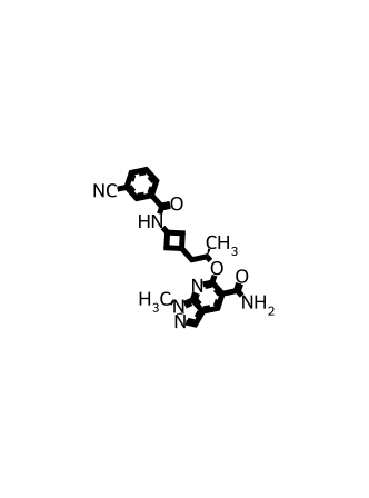 C[C@@H](CC1CC(NC(=O)c2cccc(C#N)c2)C1)Oc1nc2c(cnn2C)cc1C(N)=O